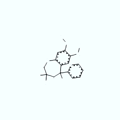 COc1cc2c(cc1OC)C(O)(c1ccccn1)CC(C)(C)CO2